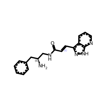 N[C@H](CNC(=O)/C=C/c1n[nH]c2ncccc12)Cc1ccccc1